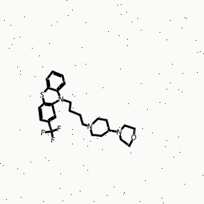 FC(F)(F)c1ccc2c(c1)N(CCCCN1CCC(N3CCOCC3)CC1)c1ccccc1S2